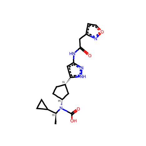 C[C@@H](C1CC1)N(C(=O)O)[C@@H]1CC[C@H](c2cc(NC(=O)Cc3ccon3)n[nH]2)C1